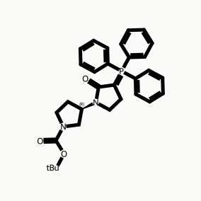 CC(C)(C)OC(=O)N1CC[C@@H](N2CCC(=P(c3ccccc3)(c3ccccc3)c3ccccc3)C2=O)C1